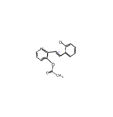 CC(=O)Oc1cccnc1/C=C/c1ccccc1Cl